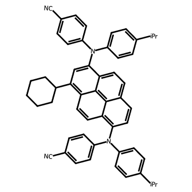 CC(C)c1ccc(N(c2ccc(C#N)cc2)c2ccc3ccc4c(N(c5ccc(C#N)cc5)c5ccc(C(C)C)cc5)cc(C5CCCCC5)c5ccc2c3c54)cc1